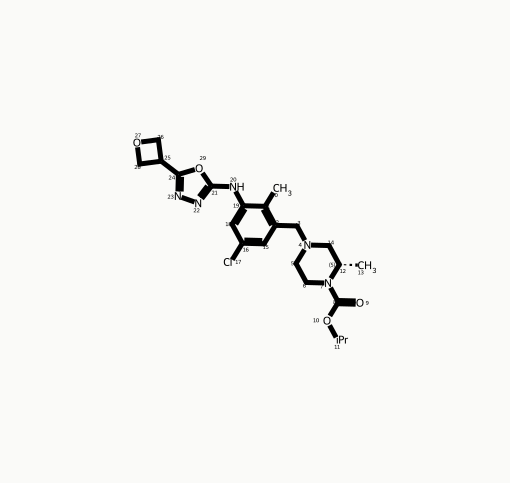 Cc1c(CN2CCN(C(=O)OC(C)C)[C@@H](C)C2)cc(Cl)cc1Nc1nnc(C2COC2)o1